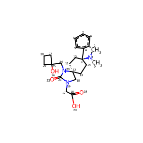 CN(C)[C@]1(c2ccccc2)CC[C@]2(CC1)CN(CC(=O)O)C(=O)N2CC1(O)CCC1